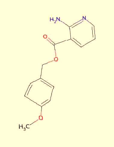 COc1ccc(COC(=O)c2cccnc2N)cc1